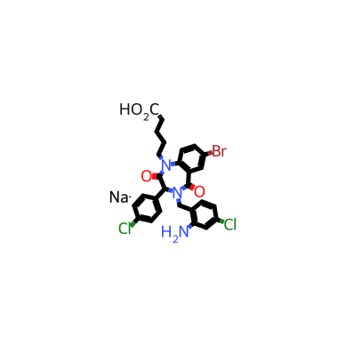 Nc1cc(Cl)ccc1CN1C(=O)c2cc(Br)ccc2N(CCCCC(=O)O)C(=O)C1c1ccc(Cl)cc1.[Na]